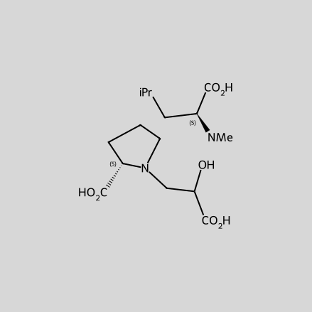 CN[C@@H](CC(C)C)C(=O)O.O=C(O)C(O)CN1CCC[C@H]1C(=O)O